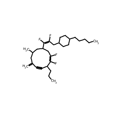 C=C1C#CC(CCC)/C(F)=C(/F)CC(/C(F)=C(/F)CC2CCC(CCCCC)CC2)CC(C)C1